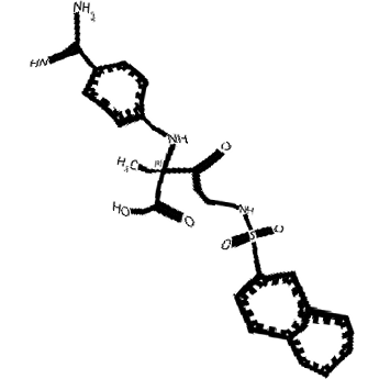 C[C@](Nc1ccc(C(=N)N)cc1)(C(=O)O)C(=O)CNS(=O)(=O)c1ccc2ccccc2c1